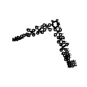 O=P([O-])([O-])[O-].O=P([O-])([O-])[O-].O=P([O-])([O-])[O-].O=P([O-])([O-])[O-].O=P([O-])([O-])[O-].O=P([O-])([O-])[O-].[Mo+6].[Mo+6].[Mo+6].[Mo+6].[Mo+6].[O-][O-].[O-][O-].[O-][O-].[O-][O-].[O-][O-].[O-][O-].c1ccncc1